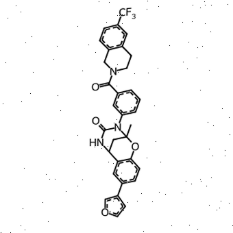 CC12CC(NC(=O)N1c1cccc(C(=O)N3CCc4cc(C(F)(F)F)ccc4C3)c1)c1cc(-c3ccoc3)ccc1O2